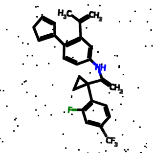 C=C(C)c1cc(NC(=C)C2(c3ccc(C(F)(F)F)cc3F)CC2)ccc1C1=CCC=C1